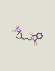 CC[C@@H](CCCN1C(=O)c2ccccc2C1=O)CC(C)(C)[N+](=O)[O-]